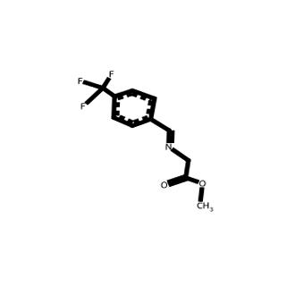 COC(=O)C/N=C/c1ccc(C(F)(F)F)cc1